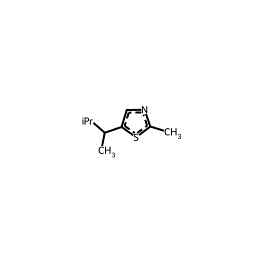 Cc1ncc(C(C)C(C)C)s1